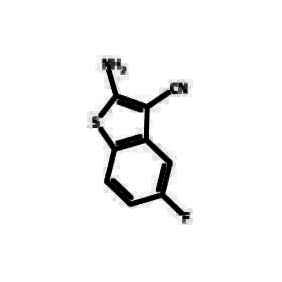 N#Cc1c(N)sc2ccc(F)cc12